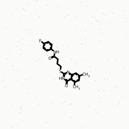 Cc1cc(C)c2c(=O)[nH]c(SCCCC(=O)Nc3ccc(F)cc3)nc2c1